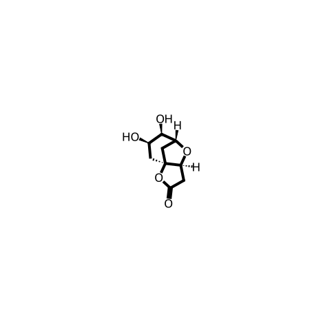 O=C1C[C@@H]2O[C@@H]3C[C@]2(C[C@@H](O)[C@H]3O)O1